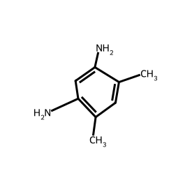 Cc1cc(C)c(N)cc1N